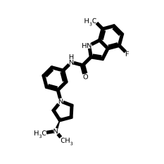 Cc1ccc(F)c2cc(C(=O)Nc3cccc(N4CC[C@@H](N(C)C)C4)c3)[nH]c12